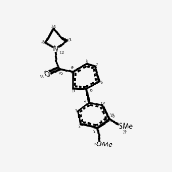 COc1ccc(-c2cccc(C(=O)N3CCC3)c2)cc1SC